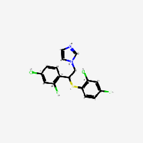 Clc1ccc(SC(Cn2ccnc2)c2ccc(Cl)cc2Cl)c(Cl)c1